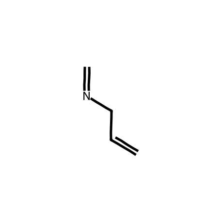 C=CCN=C